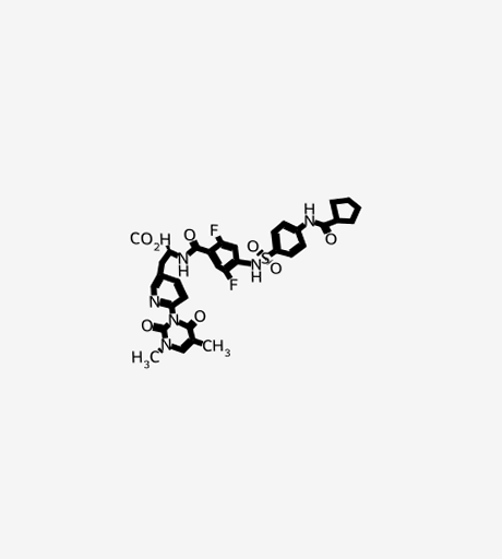 Cc1cn(C)c(=O)n(-c2ccc(C[C@H](NC(=O)c3cc(F)c(NS(=O)(=O)c4ccc(NC(=O)C5CCCC5)cc4)cc3F)C(=O)O)cn2)c1=O